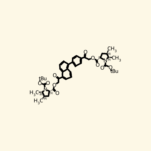 C[C@@H]1C[C@@H](C(=O)OCC(=O)c2ccc(-c3cccc4c(C(=O)COC(=O)[C@@H]5C[C@@H](C)[C@@H](C)N5C(=O)OC(C)(C)C)cccc34)cc2)N(C(=O)OC(C)(C)C)[C@@H]1C